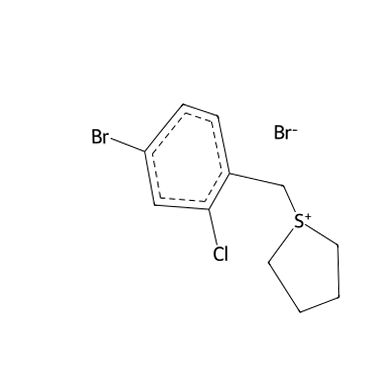 Clc1cc(Br)ccc1C[S+]1CCCC1.[Br-]